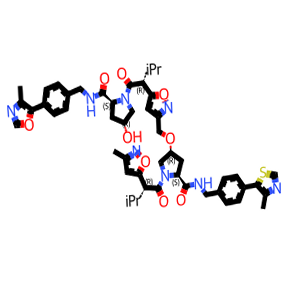 Cc1cc([C@H](C(=O)N2C[C@H](OCc3cc([C@H](C(=O)N4C[C@H](O)C[C@H]4C(=O)NCc4ccc(-c5ocnc5C)cc4)C(C)C)on3)C[C@H]2C(=O)NCc2ccc(-c3scnc3C)cc2)C(C)C)on1